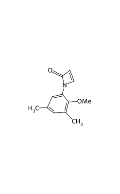 COc1c(C)cc(C)cc1N1C=CC1=O